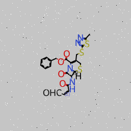 Cc1nnc(SCC2=C(C(=O)OCc3ccccc3)N3C(=O)C(NC(=O)/C=C\C=O)[C@@H]3SC2)s1